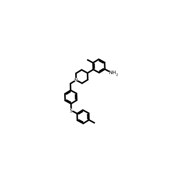 Cc1ccc(Sc2ccc(CN3CCC(c4cc(N)ccc4C)CC3)cc2)cc1